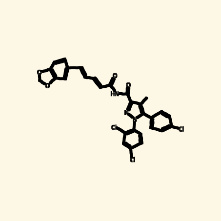 Cc1c(C(=O)NC(=O)C=CC=Cc2ccc3c(c2)OCO3)nn(-c2ccc(Cl)cc2Cl)c1-c1ccc(Cl)cc1